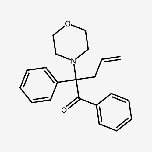 C=CCC(C(=O)c1ccccc1)(c1ccccc1)N1CCOCC1